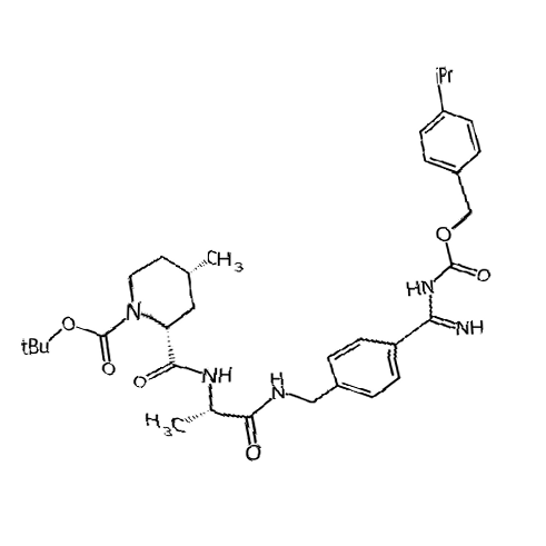 CC(C)c1ccc(COC(=O)NC(=N)c2ccc(CNC(=O)[C@H](C)NC(=O)[C@H]3C[C@@H](C)CCN3C(=O)OC(C)(C)C)cc2)cc1